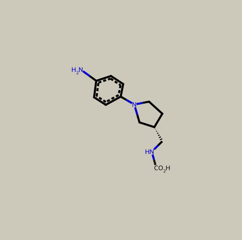 Nc1ccc(N2CC[C@H](CNC(=O)O)C2)cc1